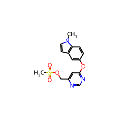 Cn1ccc2cc(Oc3cc(COS(C)(=O)=O)ncn3)ccc21